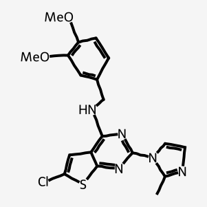 COc1ccc(CNc2nc(-n3ccnc3C)nc3sc(Cl)cc23)cc1OC